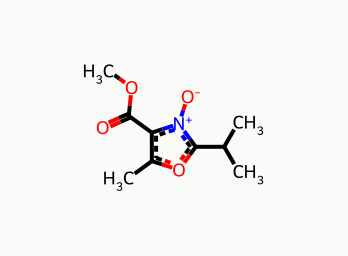 COC(=O)c1c(C)oc(C(C)C)[n+]1[O-]